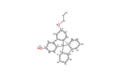 CCCOc1ccc(C2(c3ccc(O)cc3)c3ccccc3-c3ccccc32)cc1